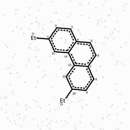 CCc1ccc2ccc3ccc(CC)cc3c2c1